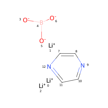 [Li+].[Li+].[Li+].[O-]B([O-])[O-].c1cnccn1